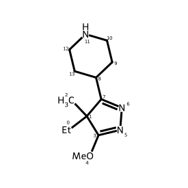 CCC1(C)C(OC)=NN=C1C1CCNCC1